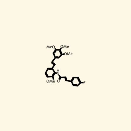 COc1cccc(/C=C/c2cc(OC)c(OC)c(OC)c2)c1NC(=O)/C=C/c1ccc(F)cc1